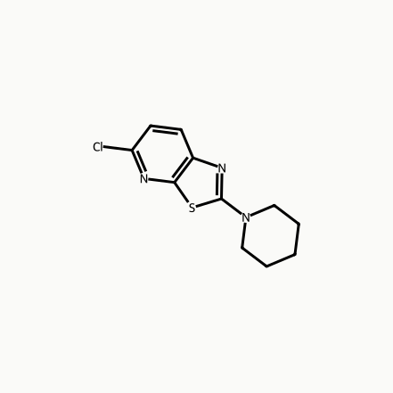 Clc1ccc2nc(N3CCCCC3)sc2n1